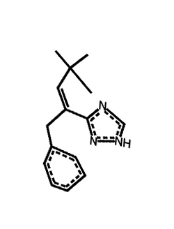 CC(C)(C)C=C(Cc1ccccc1)c1nc[nH]n1